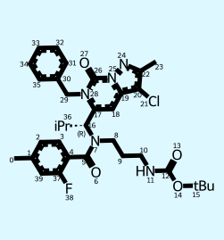 Cc1ccc(C(=O)N(CCCNC(=O)OC(C)(C)C)[C@@H](c2cc3c(Cl)c(C)nn3c(=O)n2Cc2ccccc2)C(C)C)c(F)c1